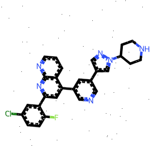 Fc1ccc(Cl)cc1-c1cc(-c2cncc(-c3cnn(C4CCNCC4)c3)c2)c2cccnc2n1